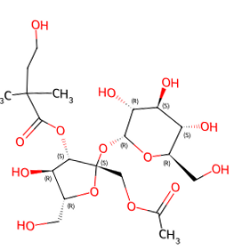 CC(=O)OC[C@@]1(O[C@H]2O[C@H](CO)[C@@H](O)[C@H](O)[C@H]2O)O[C@H](CO)[C@@H](O)[C@@H]1OC(=O)C(C)(C)CCO